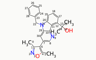 Cc1noc(C)c1-c1cnc2c3c(C(C)(C)O)cccc3n(Cc3ccccc3)c2c1